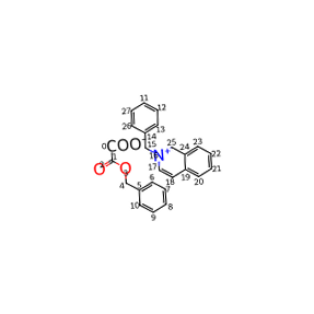 O=C([O-])C(=O)OCc1ccccc1.c1ccc(C[n+]2ccc3ccccc3c2)cc1